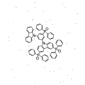 O=P(c1ccccc1)(c1ccccc1)c1cc(-n2c3ccccc3c3ccccc32)cc(-n2c3ccc(P(=O)(c4ccccc4)c4ccccc4)cc3c3cc(P(=O)(c4ccccc4)c4ccccc4)ccc32)c1